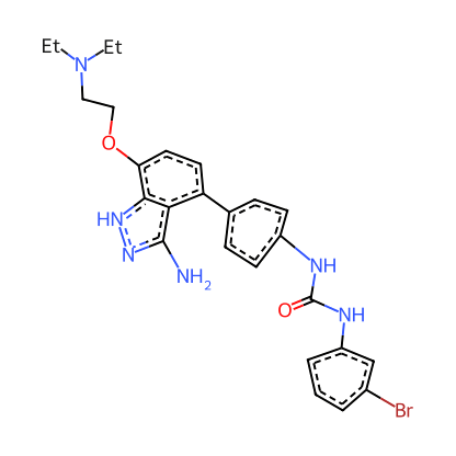 CCN(CC)CCOc1ccc(-c2ccc(NC(=O)Nc3cccc(Br)c3)cc2)c2c(N)n[nH]c12